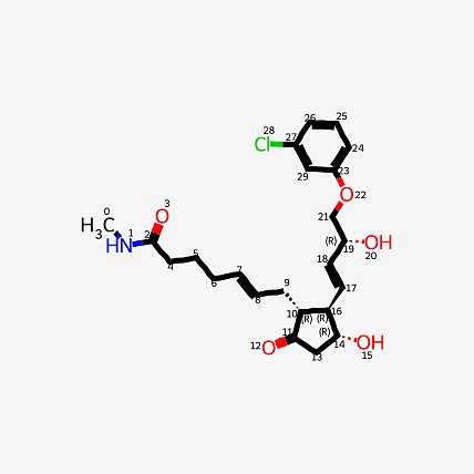 CNC(=O)CCCC=CC[C@H]1C(=O)C[C@@H](O)[C@@H]1C=C[C@@H](O)COc1cccc(Cl)c1